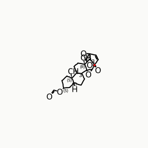 C[C@]12CC[C@H](OC=O)C[C@H]1CCC1C2CC[C@]2(C)[C@@H](C34C=CC(=O)OC3O4)CC3OC312